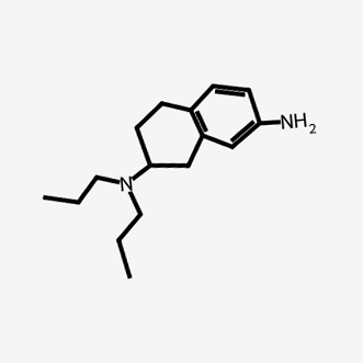 CCCN(CCC)C1CCc2ccc(N)cc2C1